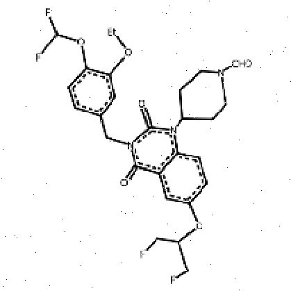 CCOc1cc(Cn2c(=O)c3cc(OC(CF)CF)ccc3n(C3CCN(C=O)CC3)c2=O)ccc1OC(F)F